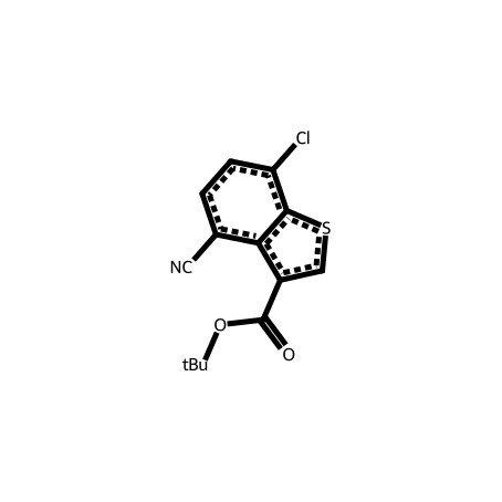 CC(C)(C)OC(=O)c1csc2c(Cl)ccc(C#N)c12